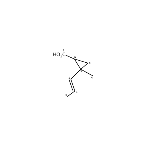 CC=CC1(C)CC1C(=O)O